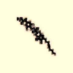 CCCCC#CCCCC1=NC2(CCN(S(=O)(=O)/C=C/c3c(C)cc(N(C)C(N)=O)cc3C)CC2)C(=O)N1